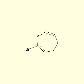 BrC1=CCCC=CS1